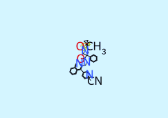 CC1([S+]([O-])N2CC3(C2)C(=O)N(Cc2ncc4ccccc4c2-c2ccc(C#N)nc2)c2ccccc23)CC1